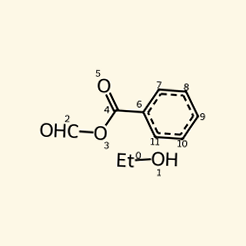 CCO.O=COC(=O)c1ccccc1